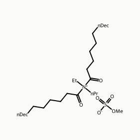 CCCCCCCCCCCCCCCC(=O)[N+](CC)(CCC)C(=O)CCCCCCCCCCCCCCC.COS(=O)(=O)[O-]